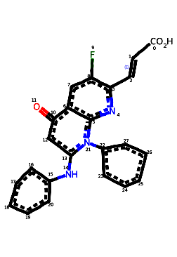 O=C(O)/C=C/c1nc2c(cc1F)c(=O)cc(Nc1ccccc1)n2-c1ccccc1